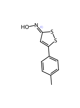 Cc1ccc(-c2c/c(=N\O)ss2)cc1